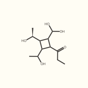 CCC(=O)C1C(C(C)O)C([C@H](C)O)C1C(O)O